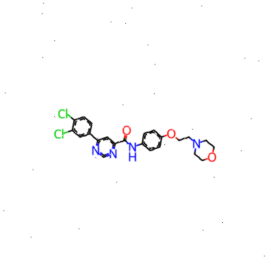 O=C(Nc1ccc(OCCN2CCOCC2)cc1)c1cc(-c2ccc(Cl)c(Cl)c2)ncn1